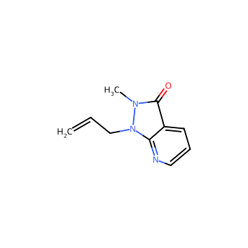 C=CCn1c2ncccc2c(=O)n1C